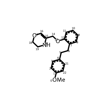 COc1ccc(CCc2ccccc2OCC2=COCCN2)cc1